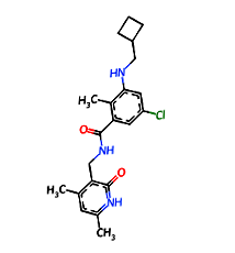 Cc1cc(C)c(CNC(=O)c2cc(Cl)cc(NCC3CCC3)c2C)c(=O)[nH]1